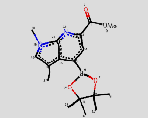 COC(=O)c1cc(B2OC(C)(C)C(C)(C)O2)c2c(C)cn(C)c2n1